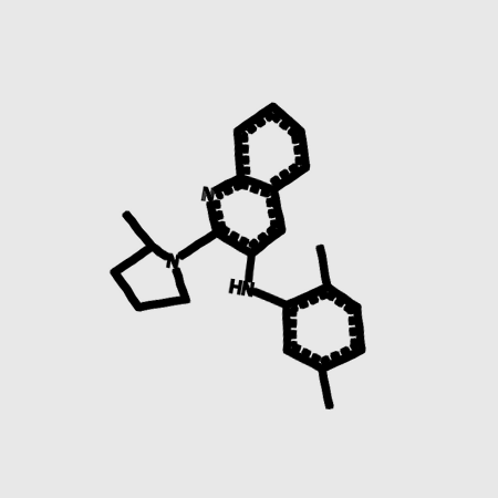 Cc1ccc(C)c(Nc2cc3ccccc3nc2N2CCCC2C)c1